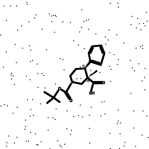 CC(C)(C)OC(=O)N1CC[C@@H](c2ccccc2)[C@@](C)(C(=O)O)C1